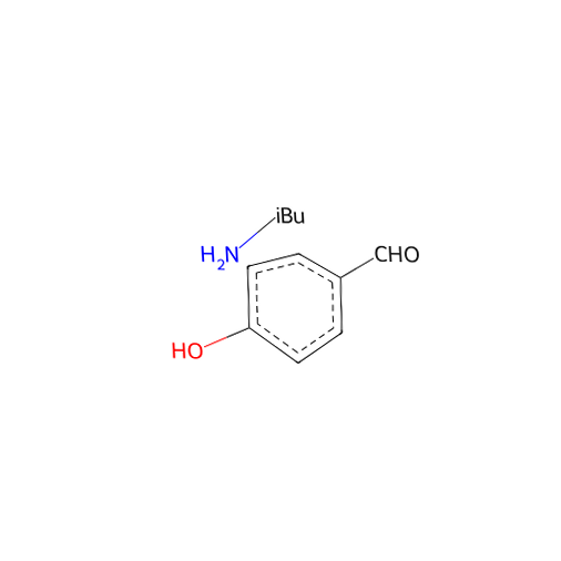 CCC(C)N.O=Cc1ccc(O)cc1